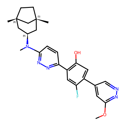 COc1cc(-c2cc(O)c(-c3ccc(N(C)[C@H]4C[C@]5(C)CC[C@](C)(C4)C5)nn3)cc2F)cnn1